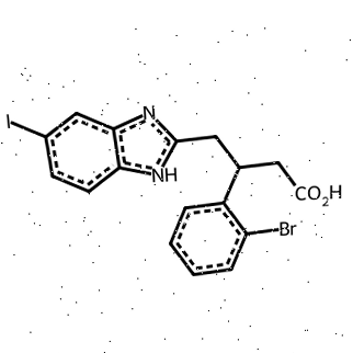 O=C(O)CC(Cc1nc2cc(I)ccc2[nH]1)c1ccccc1Br